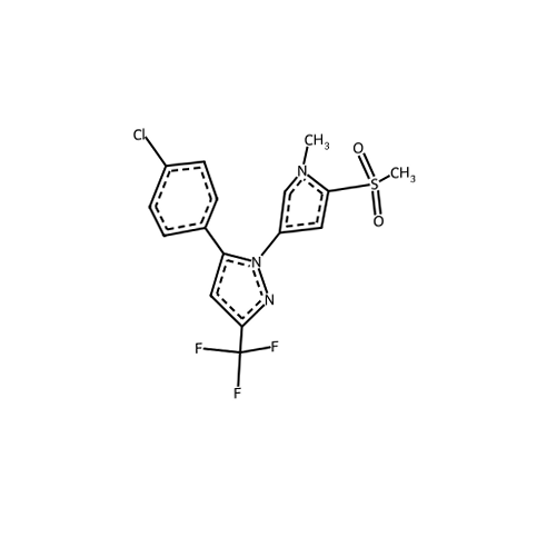 Cn1cc(-n2nc(C(F)(F)F)cc2-c2ccc(Cl)cc2)cc1S(C)(=O)=O